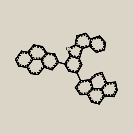 c1ccc2c(c1)ccc1oc3c(-c4cc5ccc6cccc7ccc(c4)c5c67)cc(-c4ccc5ccc6cccc7ccc4c5c67)cc3c12